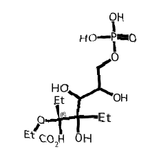 CCO[C@@](CC)(C(=O)O)C(O)(CC)C(O)C(O)COP(=O)(O)O